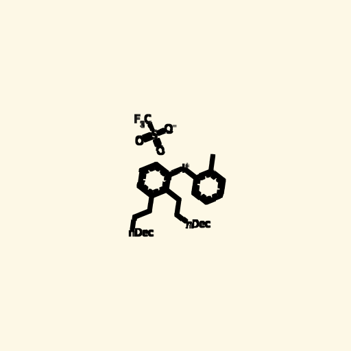 CCCCCCCCCCCCc1cccc([I+]c2ccccc2C)c1CCCCCCCCCCCC.O=S(=O)([O-])C(F)(F)F